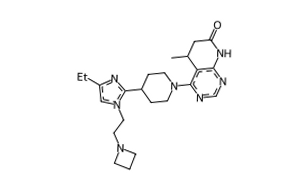 CCc1cn(CCN2CCC2)c(C2CCN(c3ncnc4c3C(C)CC(=O)N4)CC2)n1